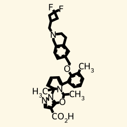 Cc1cccc(C2=CC=CC3(C)N2C(C)Oc2c(C(=O)O)cnn23)c1OCc1ccc2c(c1)CCN(CC1CC(F)(F)C1)C2